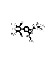 CCNc1nn(C(=O)OC(C)(C)C)c2ccc(C3C(C#N)=C(C)NC(C)=C3C#N)cc12